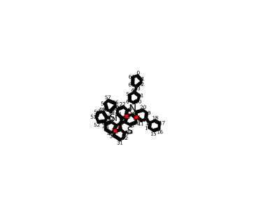 c1ccc(-c2ccc(N(c3ccc(-c4ccccc4)cc3)c3ccc4c(c3)C3(c5ccccc5Sc5ccccc53)c3ccccc3[Si]4(c3ccccc3)c3ccccc3)cc2)cc1